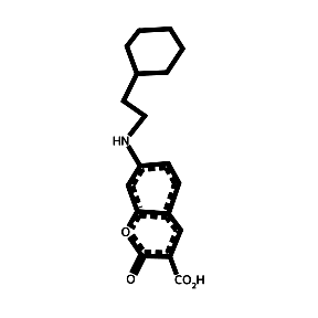 O=C(O)c1cc2ccc(NCCC3CCCCC3)cc2oc1=O